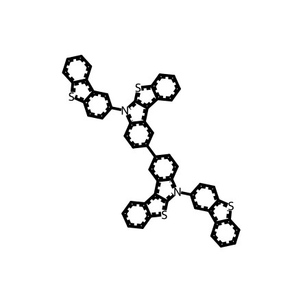 c1ccc2c(c1)sc1ccc(-n3c4ccc(-c5ccc6c(c5)c5c7ccccc7sc5n6-c5ccc6sc7ccccc7c6c5)cc4c4c5ccccc5sc43)cc12